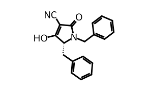 N#CC1=C(O)[C@@H](Cc2ccccc2)N(Cc2ccccc2)C1=O